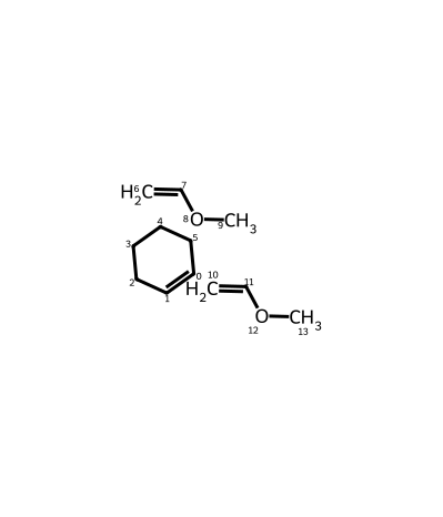 C1=CCCCC1.C=COC.C=COC